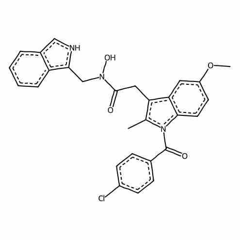 COc1ccc2c(c1)c(CC(=O)N(O)Cc1[nH]cc3ccccc13)c(C)n2C(=O)c1ccc(Cl)cc1